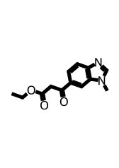 CCOC(=O)CC(=O)c1ccc2ncn(C)c2c1